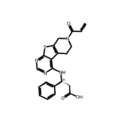 C=CC(=O)N1CCc2c(sc3ncnc(N[C@H](CC(=O)O)c4ccccc4)c23)C1